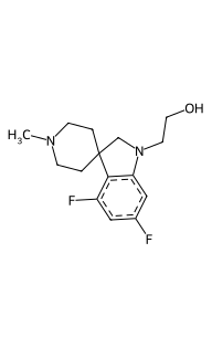 CN1CCC2(CC1)CN(CCO)c1cc(F)cc(F)c12